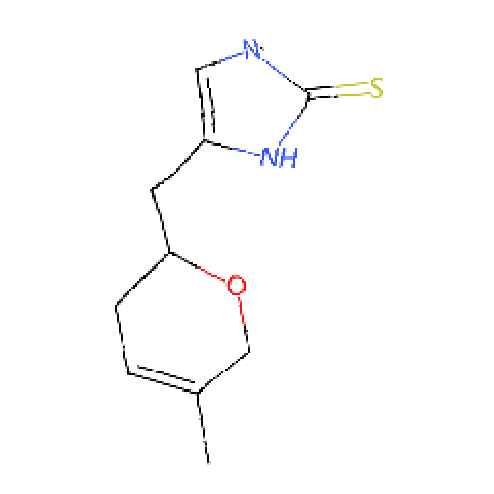 CC1=CCC(CC2=C[N]C(=S)N2)OC1